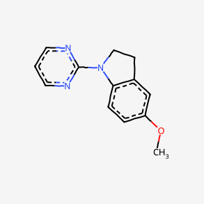 COc1ccc2c(c1)CCN2c1ncccn1